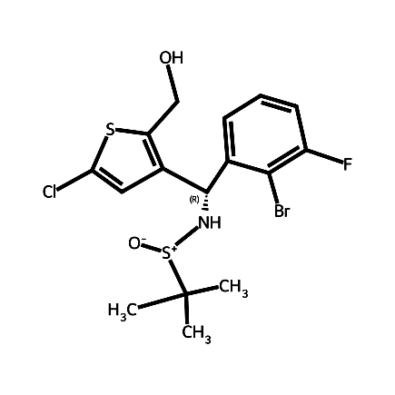 CC(C)(C)[S+]([O-])N[C@H](c1cc(Cl)sc1CO)c1cccc(F)c1Br